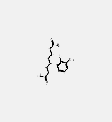 Cc1ccccc1O.O=C(Cl)CCCCCCC(=O)Cl